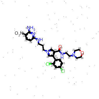 Nc1nc(NCCCn2cc(C(=O)NCCN3CCOCC3)c(-c3ccc(Cl)cc3Cl)c2)ccc1[N+](=O)[O-]